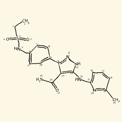 CCS(=O)(=O)Nc1ccc(-c2n[nH]c(Nc3cccc(C)n3)c2C(N)=O)cc1